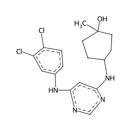 CC1(O)CCC(Nc2cc(Nc3ccc(Cl)c(Cl)c3)ncn2)CC1